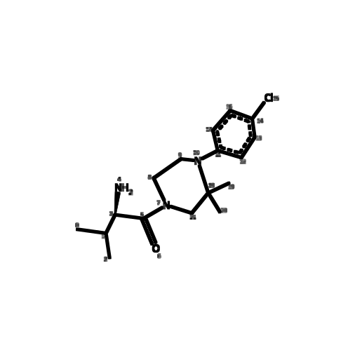 CC(C)[C@@H](N)C(=O)N1CCN(c2ccc(Cl)cc2)C(C)(C)C1